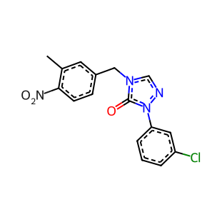 Cc1cc(Cn2cnn(-c3cccc(Cl)c3)c2=O)ccc1[N+](=O)[O-]